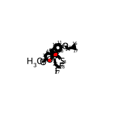 COC1CCC2(CC1)Cc1ccc(OCC3CC3)cc1C21NC(=S)N(CC(F)F)C1=O